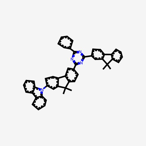 CC1(C)c2ccccc2-c2ccc(-c3nc(-c4ccccc4)nc(-c4ccc5c(c4)-c4ccc(-n6c7ccccc7c7ccccc76)cc4C5(C)C)n3)cc21